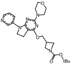 CC(C)(C)OC(=O)N1CC(COc2nc(N3CCOCC3)nc3c2CCN3c2cccnc2)C1